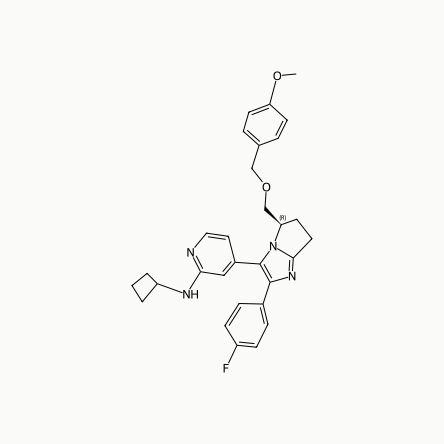 COc1ccc(COC[C@H]2CCc3nc(-c4ccc(F)cc4)c(-c4ccnc(NC5CCC5)c4)n32)cc1